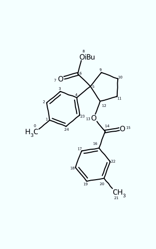 Cc1ccc(C2(C(=O)OCC(C)C)CCCC2OC(=O)c2cccc(C)c2)cc1